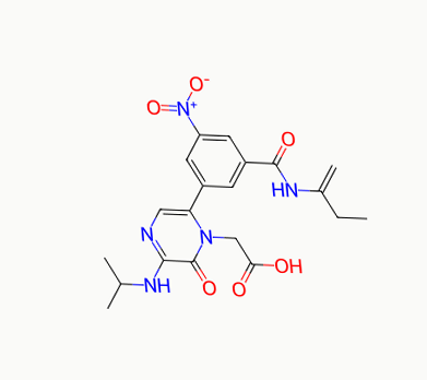 C=C(CC)NC(=O)c1cc(-c2cnc(NC(C)C)c(=O)n2CC(=O)O)cc([N+](=O)[O-])c1